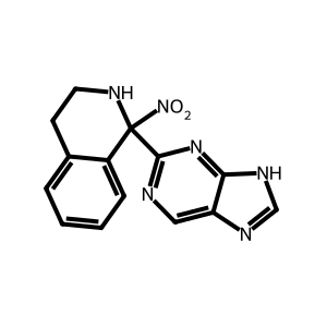 O=[N+]([O-])C1(c2ncc3nc[nH]c3n2)NCCc2ccccc21